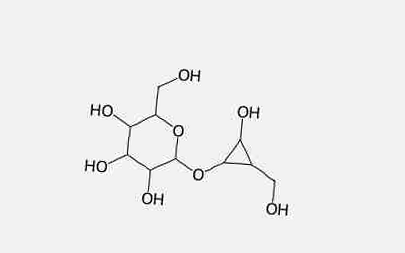 OCC1OC(OC2C(O)C2CO)C(O)C(O)C1O